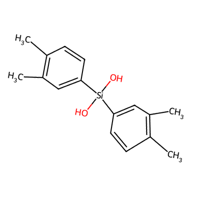 Cc1ccc([Si](O)(O)c2ccc(C)c(C)c2)cc1C